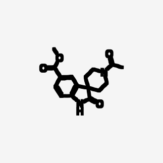 COC(=O)c1ccc2c(c1)C1(CCN(C(C)=O)CC1)C(=O)N2